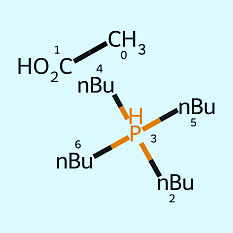 CC(=O)O.CCCC[PH](CCCC)(CCCC)CCCC